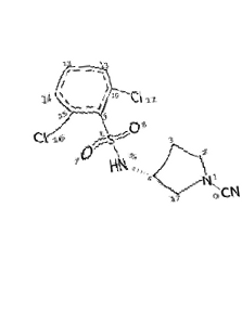 N#CN1CC[C@@H](NS(=O)(=O)c2c(Cl)cccc2Cl)C1